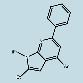 CCc1cc2c(C(C)=O)cc(-c3ccccc3)nc2n1C(C)C